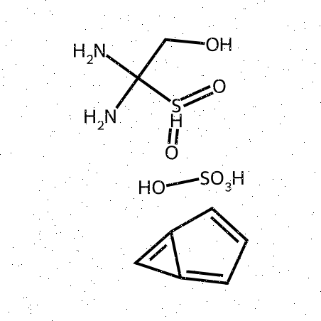 NC(N)(CO)[SH](=O)=O.O=S(=O)(O)O.c1cc2cc-2c1